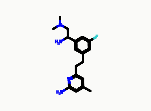 Cc1cc(N)nc(CCc2cc(F)cc(C(N)CN(C)C)c2)c1